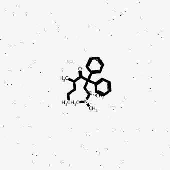 CCCC(C)C(=O)C(C[C@H](C)N(C)C)(c1ccccc1)c1ccccc1